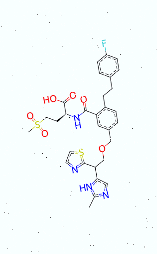 Cc1ncc(C(COCc2ccc(CCc3ccc(F)cc3)c(C(=O)N[C@@H](CCS(C)(=O)=O)C(=O)O)c2)c2nccs2)[nH]1